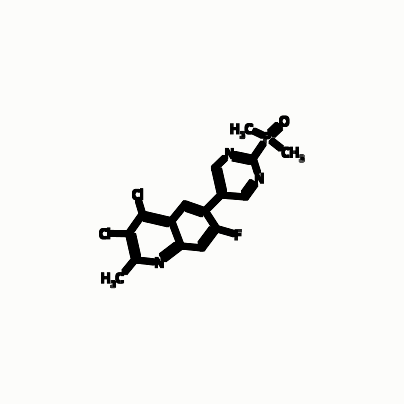 Cc1nc2cc(F)c(-c3cnc(P(C)(C)=O)nc3)cc2c(Cl)c1Cl